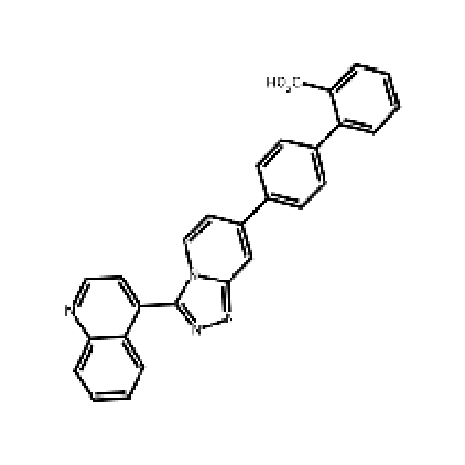 O=C(O)c1ccccc1-c1ccc(-c2ccn3c(-c4ccnc5ccccc45)nnc3c2)cc1